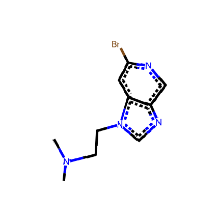 CN(C)CCn1cnc2cnc(Br)cc21